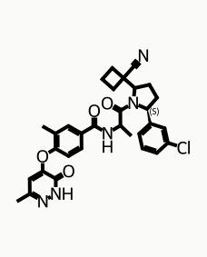 Cc1cc(Oc2ccc(C(=O)NC(C)C(=O)N3C(C4(C#N)CCC4)CC[C@H]3c3cccc(Cl)c3)cc2C)c(=O)[nH]n1